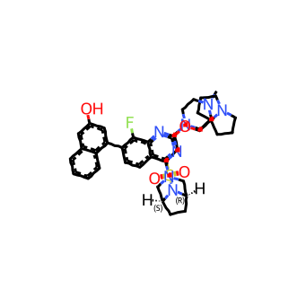 CN1CCN(CCCS(=O)(=O)N2[C@@H]3CC[C@H]2CN(c2nc(OCC45CCCN4CCC5)nc4c(F)c(-c5cc(O)cc6ccccc56)ccc24)C3)CC1